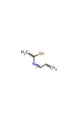 C=C/C=N\C(=C)S